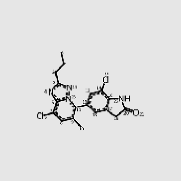 CCCc1nc2c(Cl)cc(C)c(-c3cc(Cl)c4c(c3)CC(=O)N4)n2n1